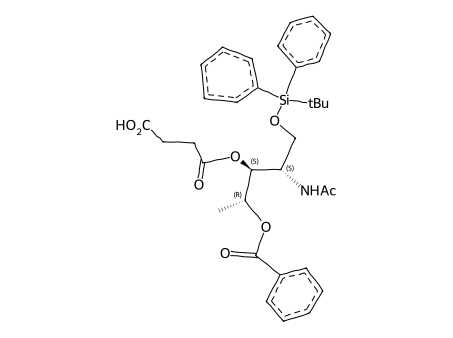 CC(=O)N[C@@H](CO[Si](c1ccccc1)(c1ccccc1)C(C)(C)C)[C@H](OC(=O)CCC(=O)O)[C@@H](C)OC(=O)c1ccccc1